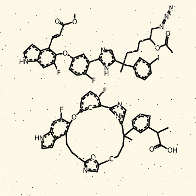 CC(C(=O)O)c1cccc(C2(C)CCCc3cnc(o3)CCc3c(c(F)cc4[nH]ccc34)Oc3ccc(F)c(c3)-c3ncc2[nH]3)c1.COC(=O)/C=C/c1c(Oc2ccc(F)c(-c3ncc(C(C)(CCCC(CN=[N+]=[N-])OC(C)=O)c4cccc(I)c4)[nH]3)c2)c(F)cc2[nH]ccc12